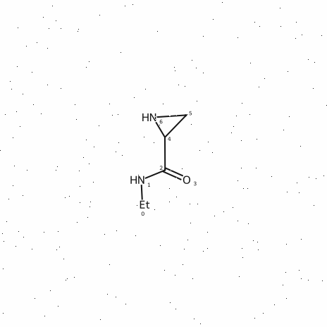 CCNC(=O)C1CN1